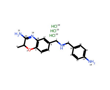 CC1Oc2ccc(CNCc3ccc(N)cc3)cc2N=C1N.Cl.Cl.Cl